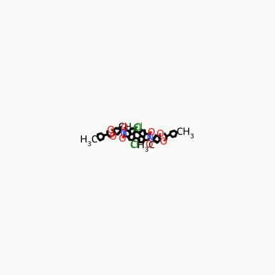 Cc1cc2c(cc1N1C(=O)c3cc(Cl)c4c5c(Cl)cc6c7c(cc(Cl)c(c8c(Cl)cc(c3c48)C1=O)c75)C(=O)N(c1cc3c(cc1C)OCC(C1CCC(C)CC1)CO3)C6=O)OCC(C1CCC(C)CC1)CO2